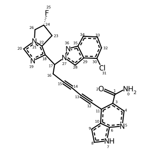 NC(=O)c1cnc2[nH]ccc2c1C#CC#CCC(c1ncn2c1C[C@@H](F)C2)n1cc2c(Cl)cccc2n1